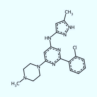 Cc1cc(Nc2cc(N3CCN(C)CC3)nc(-c3ccccc3Cl)n2)n[nH]1